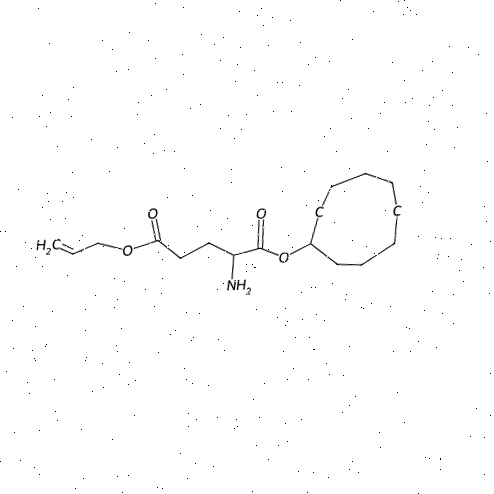 C=CCOC(=O)CCC(N)C(=O)OC1CCCCCCCC1